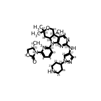 C[C@H]1COC(=O)N1c1cccc(N2c3nc(Nc4cnn(C5CCNCC5)c4)ncc3[C@]3(C)COC(C)(C)CC23)n1